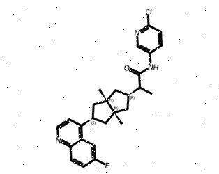 CC(C(=O)Nc1ccc(Cl)nc1)[C@H]1C[C@]2(C)C[C@@H](c3ccnc4ccc(F)cc34)C[C@]2(C)C1